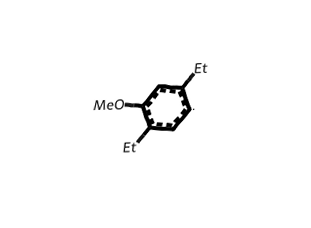 CCc1[c]cc(CC)c(OC)c1